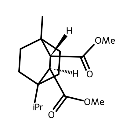 COC(=O)[C@@H]1[C@@H](C(=O)OC)C2(C(C)C)CCC1(C)CC2